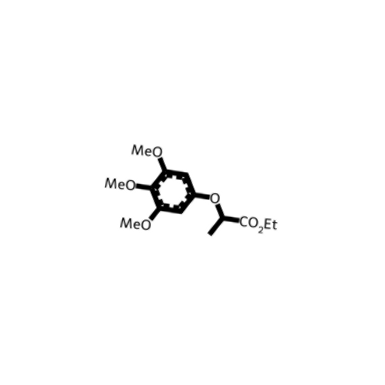 CCOC(=O)C(C)Oc1cc(OC)c(OC)c(OC)c1